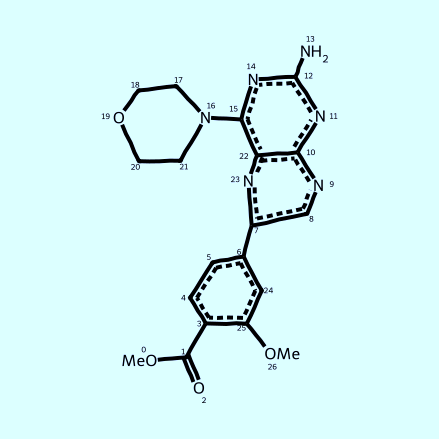 COC(=O)c1ccc(-c2cnc3nc(N)nc(N4CCOCC4)c3n2)cc1OC